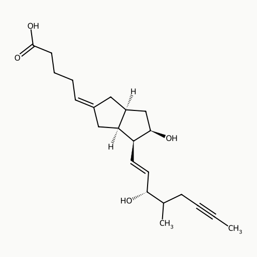 CC#CCC(C)[C@H](O)/C=C/[C@H]1[C@H]2C/C(=C/CCCC(=O)O)C[C@H]2C[C@H]1O